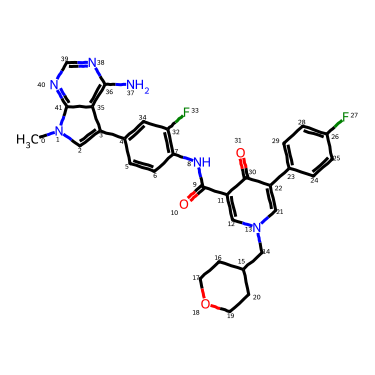 Cn1cc(-c2ccc(NC(=O)c3cn(CC4CCOCC4)cc(-c4ccc(F)cc4)c3=O)c(F)c2)c2c(N)ncnc21